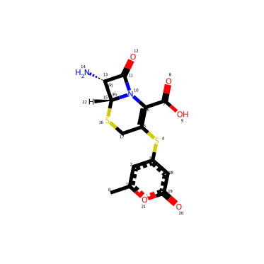 Cc1cc(SC2=C(C(=O)O)N3C(=O)[C@@H](N)[C@H]3SC2)cc(=O)o1